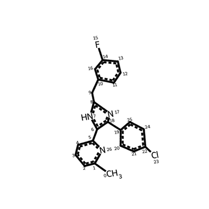 Cc1cccc(-c2[nH]c(Cc3cccc(F)c3)nc2-c2ccc(Cl)cc2)n1